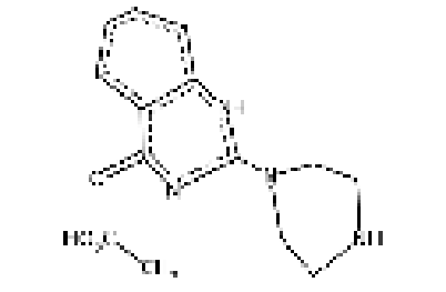 CC(=O)O.O=c1nc(N2CCNCC2)[nH]c2ccccc12